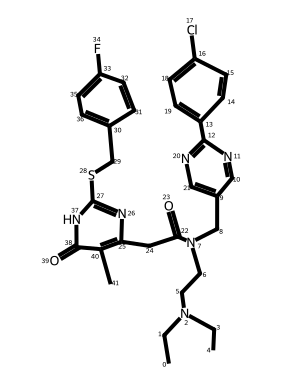 CCN(CC)CCN(Cc1cnc(-c2ccc(Cl)cc2)nc1)C(=O)Cc1nc(SCc2ccc(F)cc2)[nH]c(=O)c1C